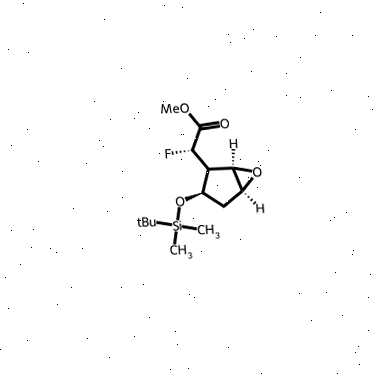 COC(=O)[C@@H](F)C1[C@H]2O[C@H]2C[C@H]1O[Si](C)(C)C(C)(C)C